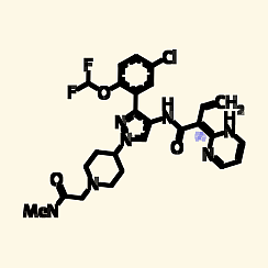 C=C/C(C(=O)Nc1cn(C2CCN(CC(=O)NC)CC2)nc1-c1cc(Cl)ccc1OC(F)F)=C1/N=CC=CN1